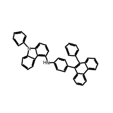 c1ccc(-c2c(-c3ccc(Nc4cccc5c4c4ccccc4n5-c4ccccc4)cc3)c3ccccc3c3ccccc23)cc1